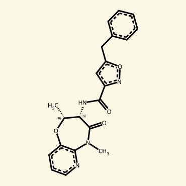 C[C@H]1Oc2cccnc2N(C)C(=O)[C@H]1NC(=O)c1cc(Cc2ccccc2)on1